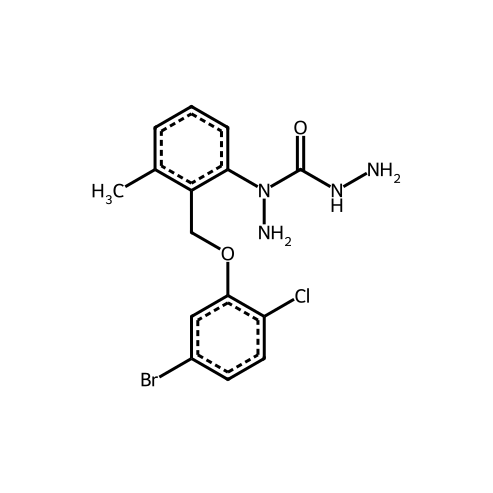 Cc1cccc(N(N)C(=O)NN)c1COc1cc(Br)ccc1Cl